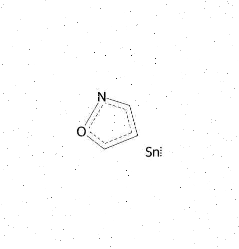 [Sn].c1cnoc1